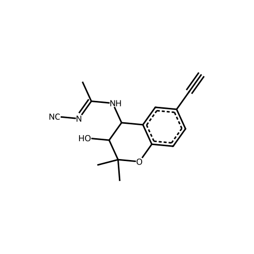 C#Cc1ccc2c(c1)C(NC(C)=NC#N)C(O)C(C)(C)O2